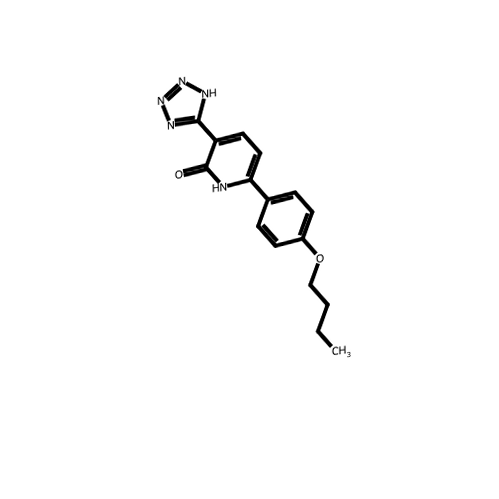 CCCCOc1ccc(-c2ccc(-c3nnn[nH]3)c(=O)[nH]2)cc1